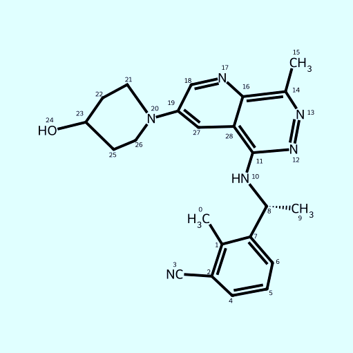 Cc1c(C#N)cccc1[C@@H](C)Nc1nnc(C)c2ncc(N3CCC(O)CC3)cc12